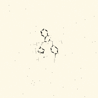 COc1cc(Nc2nc(C(O)c3ccc(F)cc3)nc3ccccc23)n[nH]1